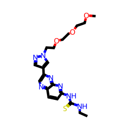 CCNC(=S)Nc1ccc2ncc(-c3cnn(CCOCCOCCOC)c3)nc2n1